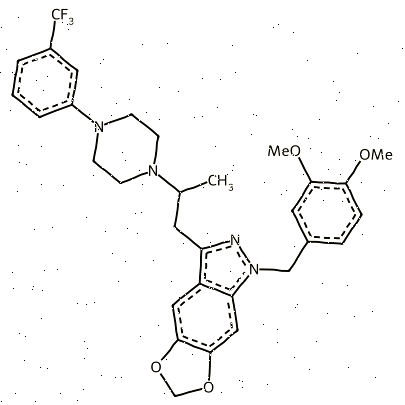 COc1ccc(Cn2nc(CC(C)N3CCN(c4cccc(C(F)(F)F)c4)CC3)c3cc4c(cc32)OCO4)cc1OC